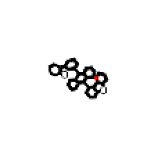 C1=Cc2c(oc3c(-c4c5ccccc5c(-c5cccc6oc7ccccc7c56)c5ccccc45)cccc23)CC1